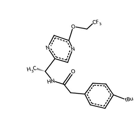 C[C@@H](NC(=O)Cc1ccc(C(C)(C)C)cc1)c1cnc(OCC(F)(F)F)cn1